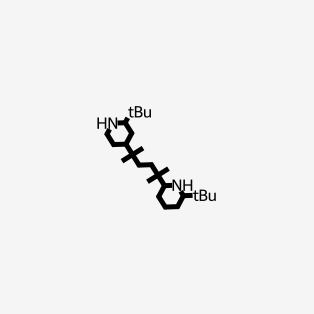 CC(C)(C)C1CC(C(C)(C)CCC(C)(C)C2CCCC(C(C)(C)C)N2)CCN1